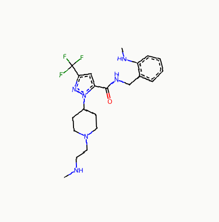 CNCCN1CCC(n2nc(C(F)(F)F)cc2C(=O)NCc2ccccc2NC)CC1